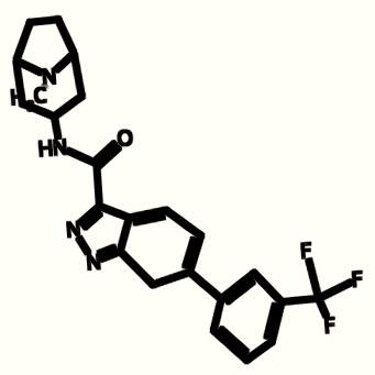 CN1C2CCC1CC(NC(=O)C1=NN=C3CC(c4cccc(C(F)(F)F)c4)=CC=C31)C2